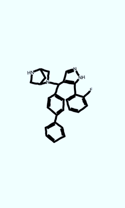 Fc1ccccc1-c1[nH]ncc1C(c1ccc(-c2ccccc2)cc1)N1CC2CC1CN2